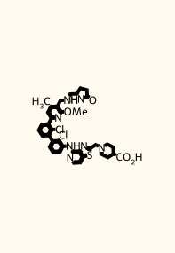 COc1nc(-c2cccc(-c3cccc(Nc4nccc5sc(CN6CCC(C(=O)O)CC6)nc45)c3Cl)c2Cl)cc(C)c1CNCC1CCC(=O)N1